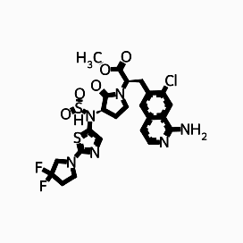 COC(=O)[C@@H](Cc1cc2ccnc(N)c2cc1Cl)N1CC[C@H](N(c2cnc(N3CCC(F)(F)C3)s2)[SH](=O)=O)C1=O